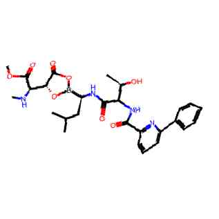 CN[C@@H](C(=O)OC)[C@H]1OB([C@H](CC(C)C)NC(=O)C(NC(=O)c2cccc(-c3ccccc3)n2)[C@@H](C)O)OC1=O